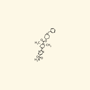 C[C@@H]1CN(c2ncc(S(N)(=O)=O)cn2)C[C@H](C)N1C(=O)OC1CCN(Cc2ccccc2)CC1